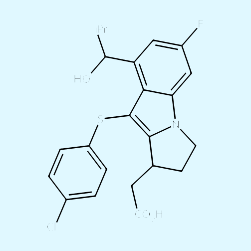 CC(C)C(O)c1cc(F)cc2c1c(Sc1ccc(Cl)cc1)c1n2CCC1CC(=O)O